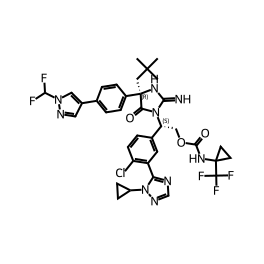 CC(C)(C)C[C@]1(c2ccc(-c3cnn(C(F)F)c3)cc2)NC(=N)N([C@H](COC(=O)NC2(C(F)(F)F)CC2)c2ccc(Cl)c(-c3ncnn3C3CC3)c2)C1=O